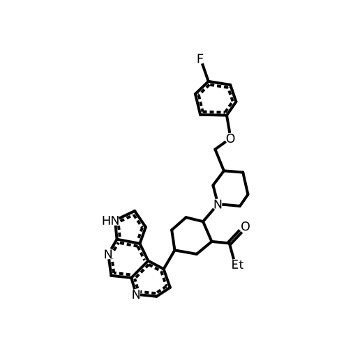 CCC(=O)C1CC(c2ccnc3cnc4[nH]ccc4c23)CCC1N1CCCC(COc2ccc(F)cc2)C1